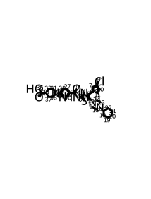 O=C(Nc1nc(-c2cc(Cl)cs2)c(N2CCN(C3CCCCC3)CC2)s1)c1ccc(N2CCC(C(=O)O)CC2)nc1